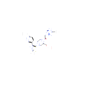 CC(C)c1ncn(CC(=O)N2CCN(c3sc(C(F)(F)F)nc3-c3ccc(C(F)(F)F)nc3)CC2CO)n1